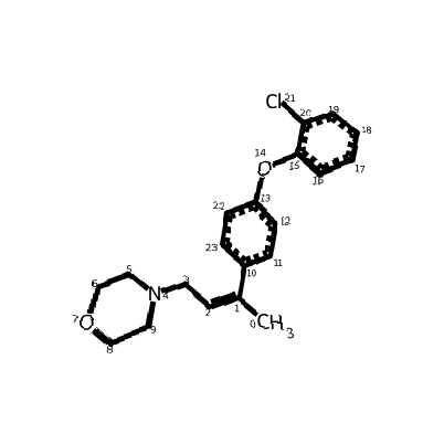 CC(=CCN1CCOCC1)c1ccc(Oc2ccccc2Cl)cc1